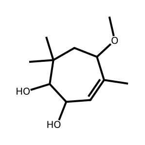 COC1CC(C)(C)C(O)C(O)C=C1C